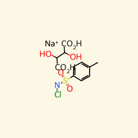 Cc1ccc(S(=O)(=O)[N-]Cl)cc1.O=C(O)C(O)C(O)C(=O)O.[Na+]